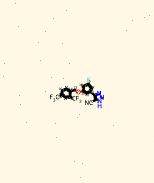 N#Cc1[nH]nnc1-c1cc(F)cc(OCc2ccc(C(F)(F)F)cc2C(F)(F)F)c1